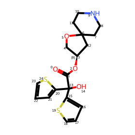 O=C(O[C@H]1COC2(CCNCC2)C1)C(O)(c1cccs1)c1cccs1